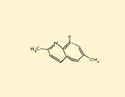 Cc1cc(F)c2nc(C)ccc2c1